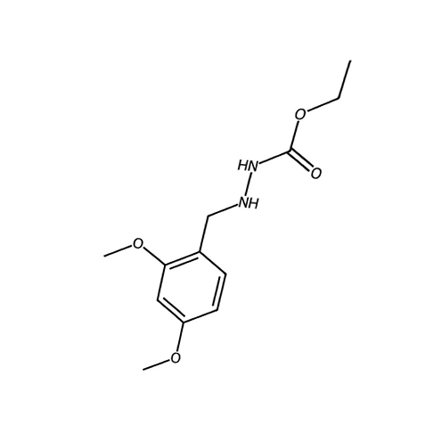 CCOC(=O)NNCc1ccc(OC)cc1OC